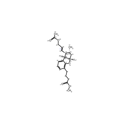 COC(=O)CCCc1cccc2c1O[C@H]1C[C@@H](C)[C@H](/C=C/COC(C)=O)[C@@H]21